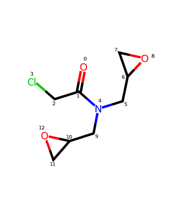 O=C(CCl)N(CC1CO1)CC1CO1